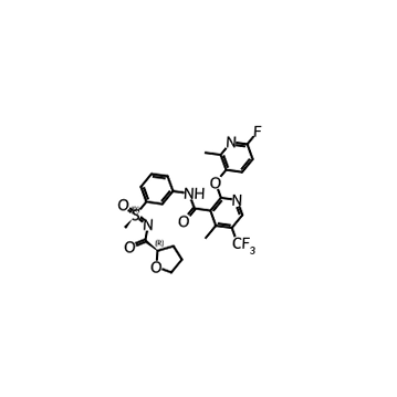 Cc1nc(F)ccc1Oc1ncc(C(F)(F)F)c(C)c1C(=O)Nc1cccc([S@@](C)(=O)=NC(=O)[C@H]2CCCO2)c1